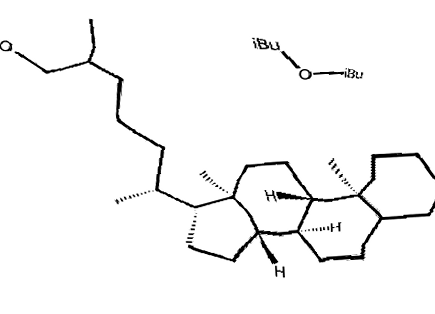 CC(CO)CCC[C@@H](C)[C@H]1CC[C@H]2[C@@H]3CCC4CCCC[C@]4(C)[C@H]3CC[C@]12C.CCC(C)OC(C)CC